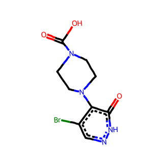 O=C(O)N1CCN(c2c(Br)cn[nH]c2=O)CC1